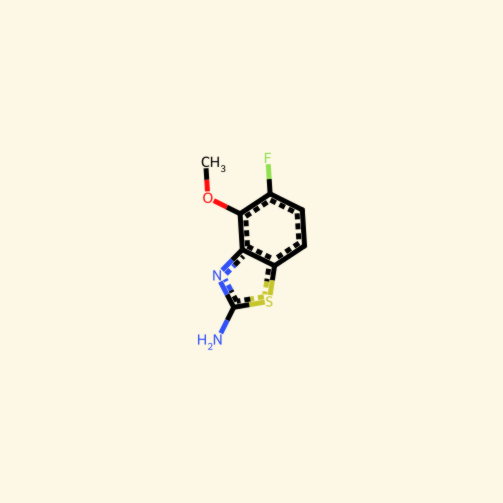 COc1c(F)ccc2sc(N)nc12